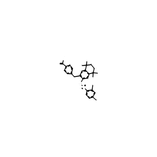 Cc1ccc(S(=O)(=O)Nc2cc3c(cc2Cc2ccc(C(=O)O)cc2)C(C)(C)CCC3(C)C)c(C)c1